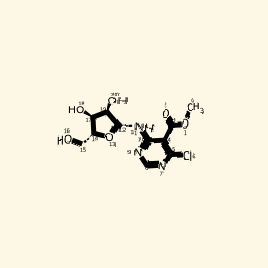 COC(=O)c1c(Cl)ncnc1N[C@@H]1O[C@H](CO)[C@@H](O)[C@H]1O